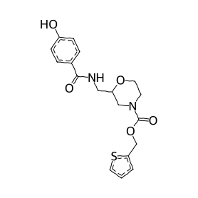 O=C(NCC1CN(C(=O)OCc2cccs2)CCO1)c1ccc(O)cc1